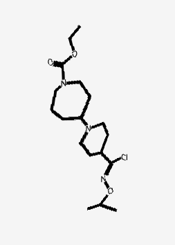 CCOC(=O)N1CCCC(N2CCC(C(Cl)=NOC(C)C)CC2)CC1